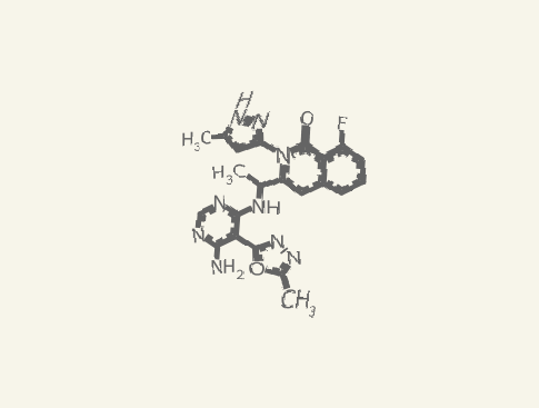 Cc1cc(-n2c(C(C)Nc3ncnc(N)c3-c3nnc(C)o3)cc3cccc(F)c3c2=O)n[nH]1